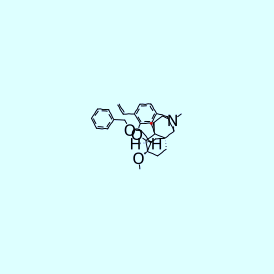 C=Cc1ccc2c3c1O[C@H]1[C@@]4(OC)CC[C@@]5(C[C@@H]4COCc4ccccc4)C(C2)N(C)CC[C@]315